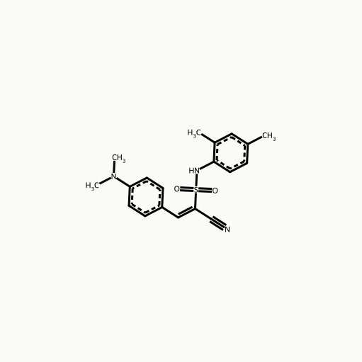 Cc1ccc(NS(=O)(=O)/C(C#N)=C\c2ccc(N(C)C)cc2)c(C)c1